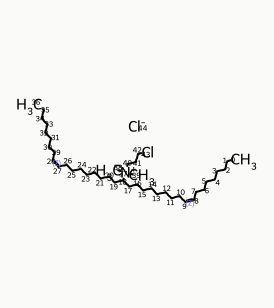 CCCCCCCC/C=C\CCCCCCCCC(CCCCCCCC/C=C\CCCCCCCC)[N+](C)(C)CCCCl.[Cl-]